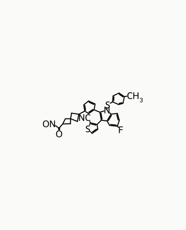 Cc1ccc(Sn2c(-c3cccc(C4CC5(CC(C(=O)N=O)C5)C4)c3)c(-c3ccsc3C#N)c3cc(F)ccc32)cc1